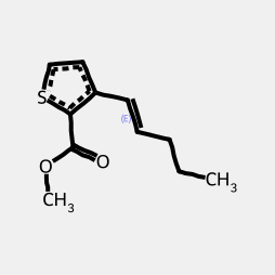 CCC/C=C/c1ccsc1C(=O)OC